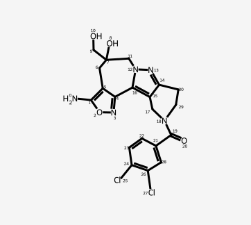 Nc1onc2c1CC(O)(CO)Cn1nc3c(c1-2)CN(C(=O)c1ccc(Cl)c(Cl)c1)CC3